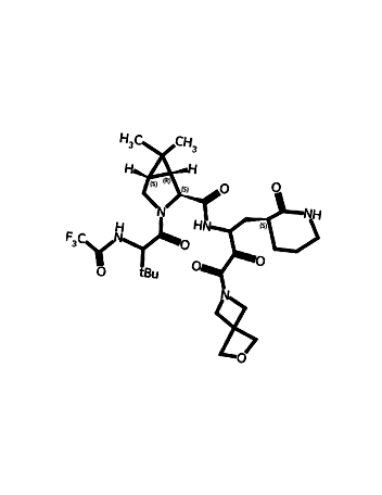 CC(C)(C)C(NC(=O)C(F)(F)F)C(=O)N1C[C@H]2[C@@H]([C@H]1C(=O)NC(C[C@@H]1CCCNC1=O)C(=O)C(=O)N1CC3(COC3)C1)C2(C)C